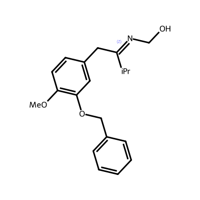 COc1ccc(C/C(=N/CO)C(C)C)cc1OCc1ccccc1